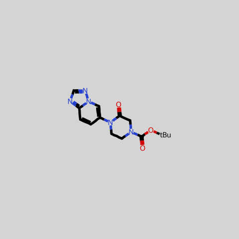 CC(C)(C)OC(=O)N1CCN(c2ccc3ncnn3c2)C(=O)C1